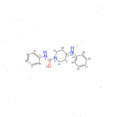 O=C(Nc1ccccc1)N1CCC(Nc2ccccc2)CC1